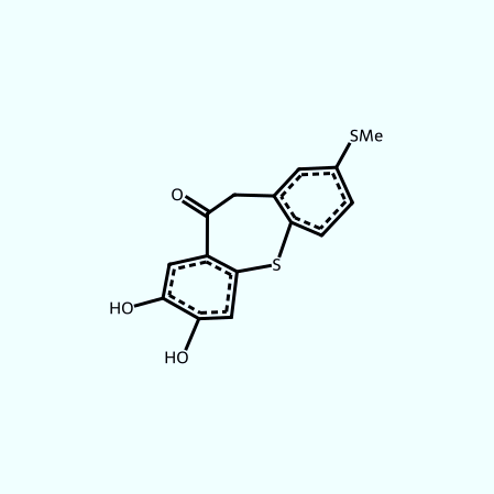 CSc1ccc2c(c1)CC(=O)c1cc(O)c(O)cc1S2